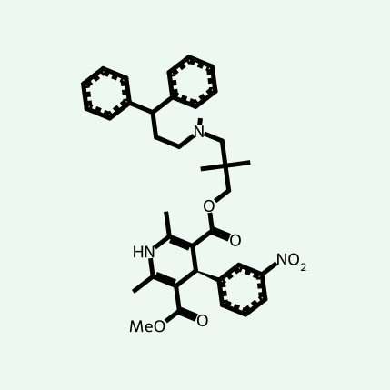 COC(=O)C1=C(C)NC(C)=C(C(=O)OCC(C)(C)CN(C)CCC(c2ccccc2)c2ccccc2)[C@H]1c1cccc([N+](=O)[O-])c1